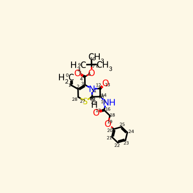 C=CC1=C(C(=O)OC(C)(C)C)N2C(=O)[C@@H](NC(=O)COc3ccccc3)[C@H]2SC1